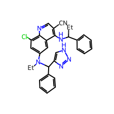 CCC(Nc1c(C#N)cnc2c(Cl)cc(N(CC)C(c3ccccc3)c3c[nH]nn3)cc12)c1ccccc1